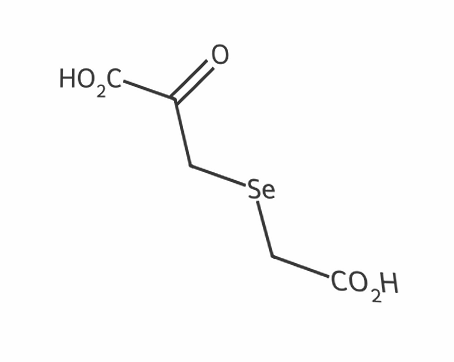 O=C(O)C[Se]CC(=O)C(=O)O